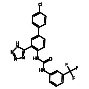 O=C(Nc1cccc(C(F)(F)F)c1)Nc1ccc(-c2ccc(Cl)cc2)cc1-c1nnn[nH]1